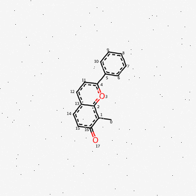 Cc1c2oc(-c3ccccc3)ccc-2ccc1=O